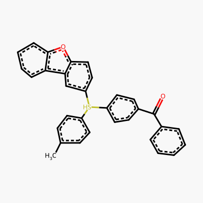 Cc1ccc([SH](c2ccc(C(=O)c3ccccc3)cc2)c2ccc3oc4ccccc4c3c2)cc1